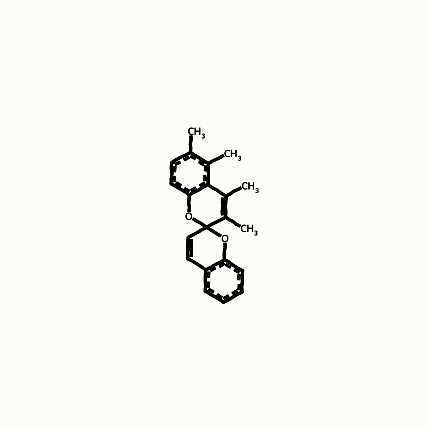 CC1=C(C)C2(C=Cc3ccccc3O2)Oc2ccc(C)c(C)c21